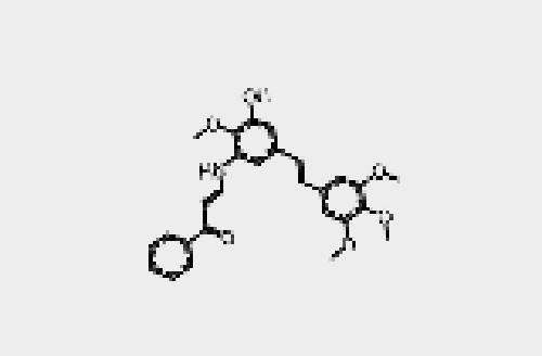 COc1cc(C=Cc2cc(O)c(OC)c(NC=CC(=O)c3ccccc3)c2)cc(OC)c1OC